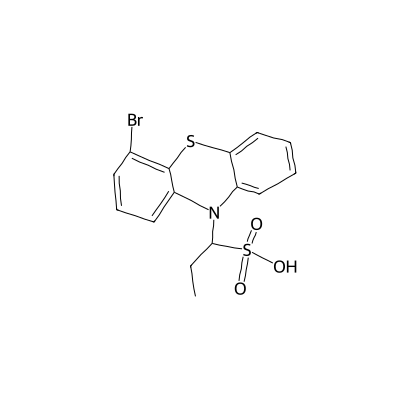 CCC(N1c2ccccc2Sc2c(Br)cccc21)S(=O)(=O)O